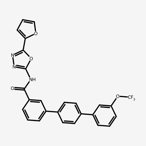 O=C(Nc1nnc(-c2ccco2)o1)c1cccc(-c2ccc(-c3cccc(OC(F)(F)F)c3)cc2)c1